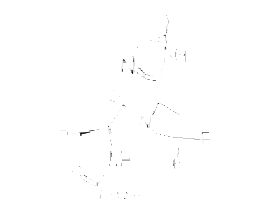 COC(=O)N[C@H](C(=O)N1CC(F)(F)C[C@H]1c1ncc(I)[nH]1)C(C)C